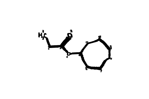 C[CH]C(=O)OC1CCCCCC1